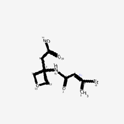 CC/C(C)=C/C(=O)NC1(CC(=O)N=O)COC1